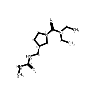 CCN(CC)C(=O)N1CC[C@H](CNC(=O)NC)C1